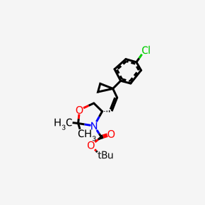 CC(C)(C)OC(=O)N1[C@@H](/C=C\C2(c3ccc(Cl)cc3)CC2)COC1(C)C